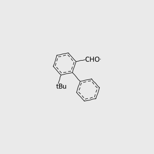 CC(C)(C)c1cccc([C]=O)c1-c1ccccc1